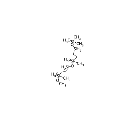 CO[Si](C)(C)CC[SiH2]O[Si](C)(C)CC[SiH2]O[Si](C)(C)C